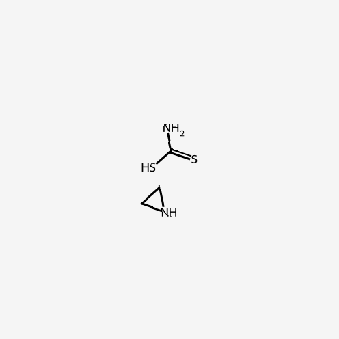 C1CN1.NC(=S)S